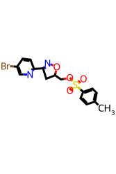 Cc1ccc(S(=O)(=O)OCC2CC(c3ccc(Br)cn3)=NO2)cc1